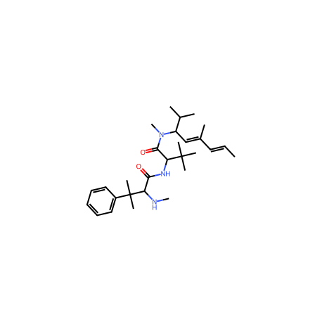 C/C=C/C(C)=C/C(C(C)C)N(C)C(=O)C(NC(=O)C(NC)C(C)(C)c1ccccc1)C(C)(C)C